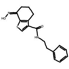 O=C(NCCc1ccccc1)c1csc2c1CCC/C2=N/O